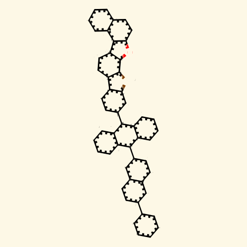 c1ccc(-c2ccc3cc(-c4c5ccccc5c(-c5ccc6c(c5)sc5c6ccc6c5oc5ccc7ccccc7c56)c5ccccc45)ccc3c2)cc1